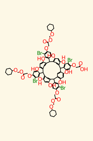 O=C(O)COc1ccc(C2c3cc(c(O)cc3O)C(c3ccc(OCC(=O)OCOC4CCCCC4)c(Br)c3)c3cc(c(O)cc3O)C(c3ccc(OCC(=O)OCOC4CCCCC4)c(Br)c3)c3cc(c(O)cc3O)C(c3ccc(OCC(=O)OCOC4CCCCC4)c(Br)c3)c3cc2c(O)cc3O)cc1Br